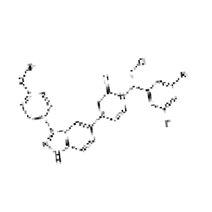 CC(C)Oc1ccc(-c2n[nH]c3ccc(-c4ccn([C@H](CO)c5cc(F)cc(Br)c5)c(=O)c4)cc23)cn1